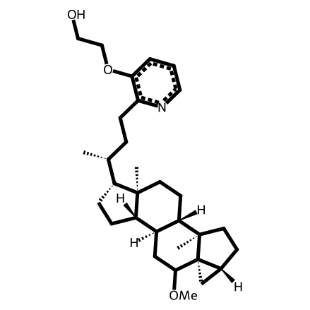 COC1C[C@H]2[C@@H]3CC[C@H]([C@H](C)CCc4ncccc4OCCO)[C@@]3(C)CC[C@@H]2[C@@]2(C)CC[C@@H]3C[C@@]132